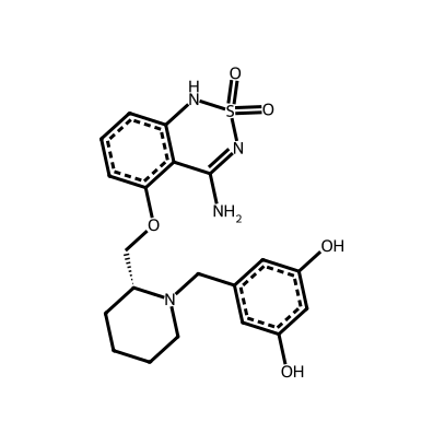 NC1=NS(=O)(=O)Nc2cccc(OC[C@H]3CCCCN3Cc3cc(O)cc(O)c3)c21